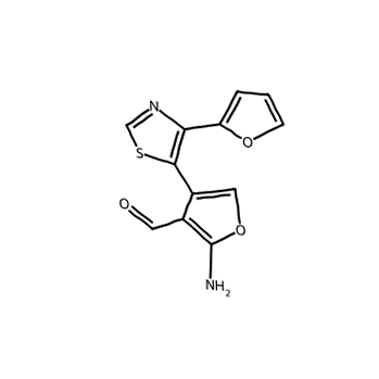 Nc1occ(-c2scnc2-c2ccco2)c1C=O